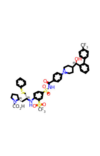 O=C(NS(=O)(=O)c1ccc(N[C@@H](CSc2ccccc2)C[C@H]2CCCN2C(=O)O)c(S(=O)(=O)C(F)(F)F)c1)c1ccc(N2CCC([C@@H](O)c3ccccc3-c3ccc(C(F)(F)F)cc3)CC2)cc1